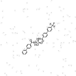 O=C(NC[C@H](NC(=O)c1ccc(-c2ccc(C(F)(F)F)cc2)cc1)C(=O)O)c1ccc(-c2ccccc2)cc1